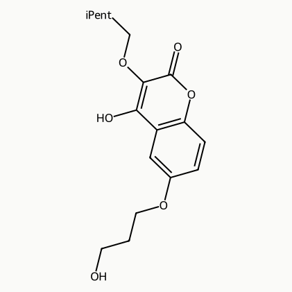 CCCC(C)COc1c(O)c2cc(OCCCO)ccc2oc1=O